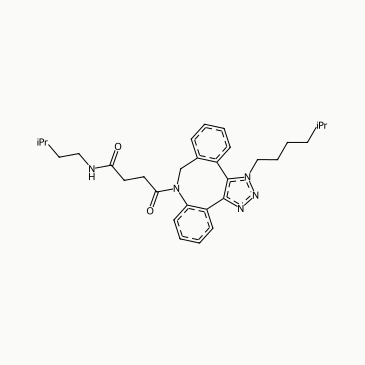 CC(C)CCCCn1nnc2c1-c1ccccc1CN(C(=O)CCC(=O)NCCC(C)C)c1ccccc1-2